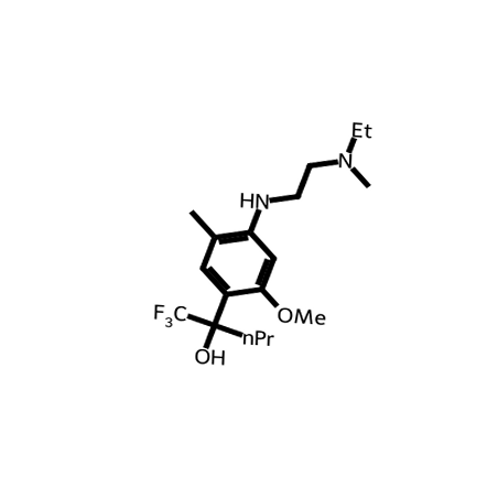 CCCC(O)(c1cc(C)c(NCCN(C)CC)cc1OC)C(F)(F)F